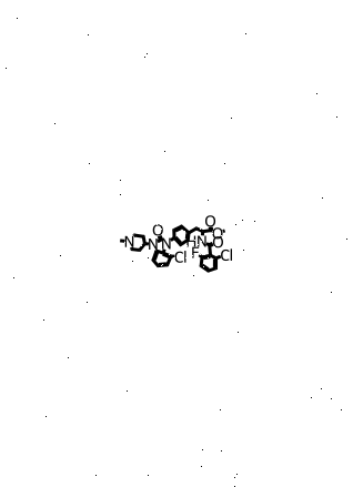 COC(=O)C(Cc1ccc(-n2c(=O)n(C3CCN(C)CC3)c3cccc(Cl)c32)cc1)NC(=O)c1c(F)cccc1Cl